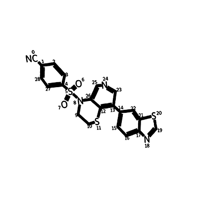 N#Cc1ccc(S(=O)(=O)N2CCSc3c(-c4ccc5ncsc5c4)cncc32)cc1